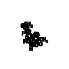 CC(c1cccc2c(-c3ccc(CS(C)(=O)=O)c(F)c3)c(C(=O)O)[nH]c12)N1CC2(CNC2)OC1=O